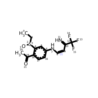 CC[S+]([O-])c1cc(N/C=C\C(=N)C(F)(F)F)ccc1C(C)=O